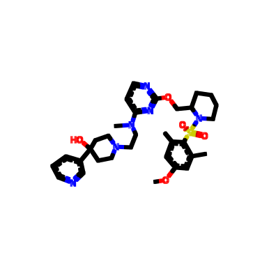 COc1cc(C)c(S(=O)(=O)N2CCCCC2COc2nccc(N(C)CCN3CCC(O)(c4cccnc4)CC3)n2)c(C)c1